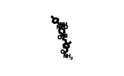 Cc1cc(CC(N)=O)ccc1CCS(=O)(=O)N1CCC2(CC1)N=C(C1CCC(C)CC1)NC2=O